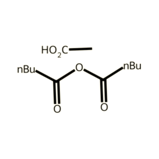 CC(=O)O.CCCCC(=O)OC(=O)CCCC